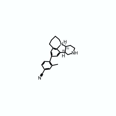 Cc1cc(C#N)ccc1-c1cc2c3c(c1)[C@@H]1CNCC[C@@H]1N3CCCC2